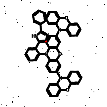 c1ccc(-c2nnc(-c3ccccc3N3c4ccc(N5c6ccccc6Oc6ccccc65)cc4Oc4cc(N5c6ccccc6Oc6ccccc65)ccc43)[nH]2)cc1